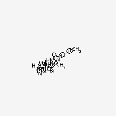 COc1nc(N2CCC(N3CCN(C)CC3)CC2)c2c(c1NC1=NC=C(Br)C(C)(Nc3ccc4nccnc4c3P(C)(C)=O)N1)CCC2